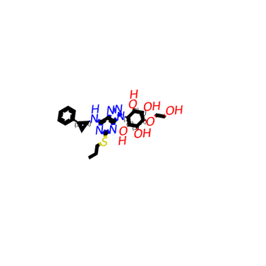 CCCSc1nc(N[C@@H]2C[C@H]2c2ccccc2)c2nnn([C@H]3[C@H](O)[C@H](O)[C@@H](OCCO)[C@H](O)[C@@H]3O)c2n1